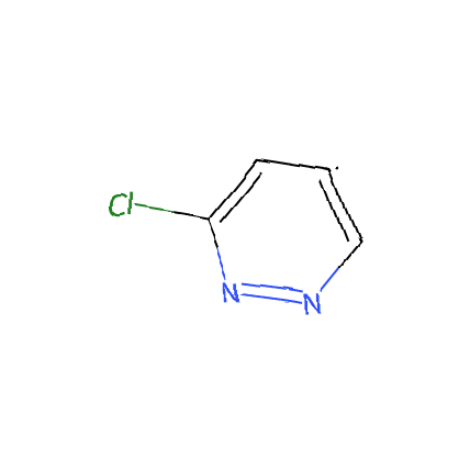 Clc1c[c]cnn1